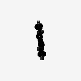 CC1(C)CC(C(=O)OC2CCC(C(C)(C)C3CCC(OC(=O)C4CC(C)(C)NC(C)(C)C4)CC3)CC2)CC(C)(C)N1